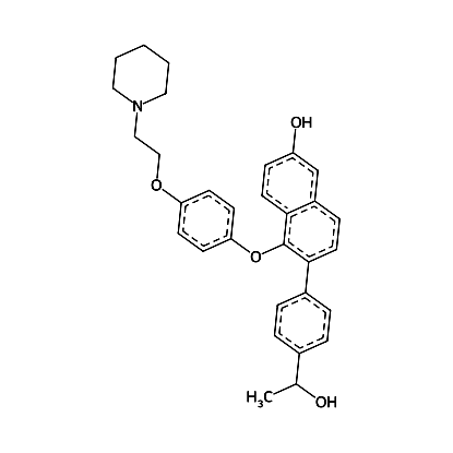 CC(O)c1ccc(-c2ccc3cc(O)ccc3c2Oc2ccc(OCCN3CCCCC3)cc2)cc1